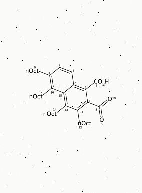 CCCCCCCCc1ccc2c(C(=O)O)c(I(=O)=O)c(CCCCCCCC)c(CCCCCCCC)c2c1CCCCCCCC